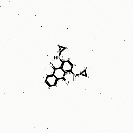 O=C1c2ccccc2C(=O)c2c(NC3CC3)ccc(NC3CC3)c21